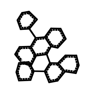 c1ccc(-c2ccc3ccccc3c2-c2c3ccccc3c(-c3ccccc3)c3ccncc23)cc1